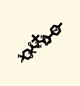 CC12CCC(c3cnc([C@@H](NC(=O)[C@@]4(C)CCC(F)(F)CO4)C(C)(C)C)[nH]3)(CC1)CC2